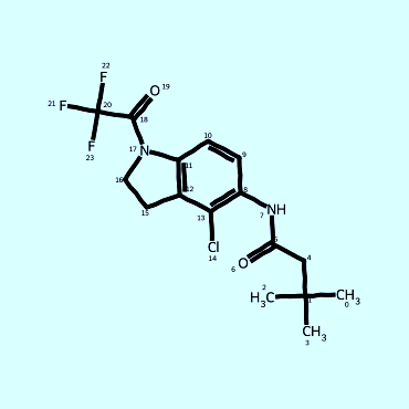 CC(C)(C)CC(=O)Nc1ccc2c(c1Cl)CCN2C(=O)C(F)(F)F